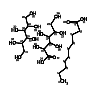 CCCCCCCCCC(=O)O.O=C(O)C(O)C(O)C(O)C(O)CO.OCC(O)C(O)C(O)C(O)CO